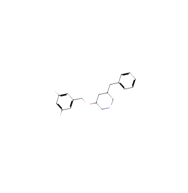 Fc1cc(F)cc(COC2CNCC(Cc3ccccc3)C2)c1